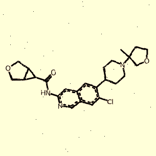 CC1(N2CCC(c3cc4cc(NC(=O)C5C6COCC65)ncc4cc3Cl)CC2)CCOC1